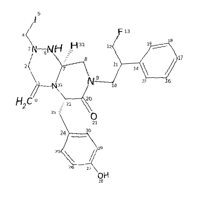 C=C1CN(CI)N[C@H]2CN(CC(CF)c3ccccc3)C(=O)[C@H](Cc3ccc(O)cc3)N12